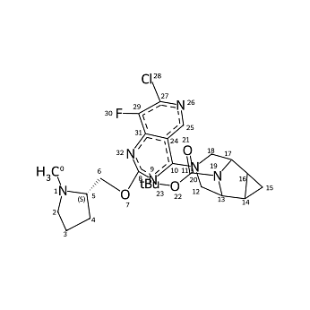 CN1CCC[C@H]1COc1nc(N2CC3C4CC4C(C2)N3C(=O)OC(C)(C)C)c2cnc(Cl)c(F)c2n1